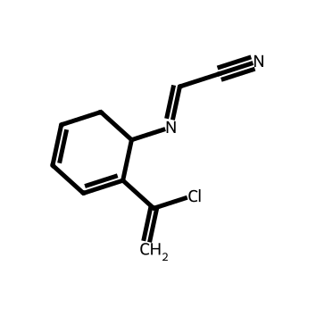 C=C(Cl)C1=CC=CCC1/N=C/C#N